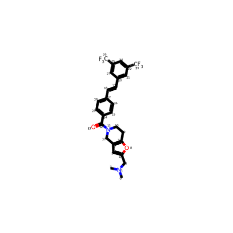 CN(C)Cc1cc2c(o1)CCN(C(=O)c1ccc(C=Cc3cc(C(F)(F)F)cc(C(F)(F)F)c3)cc1)C2